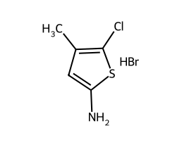 Br.Cc1cc(N)sc1Cl